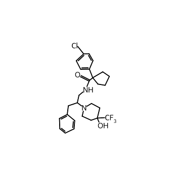 O=C(NCC(Cc1ccccc1)N1CCC(O)(C(F)(F)F)CC1)C1(c2ccc(Cl)cc2)CCCC1